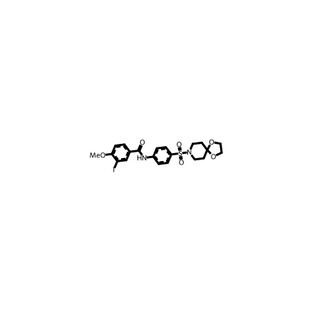 COc1ccc(C(=O)Nc2ccc(S(=O)(=O)N3CCC4(CC3)OCCO4)cc2)cc1I